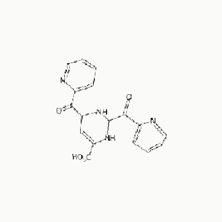 O=C(O)C1=CC(C(=O)c2ccccn2)NC(C(=O)c2ccccn2)N1